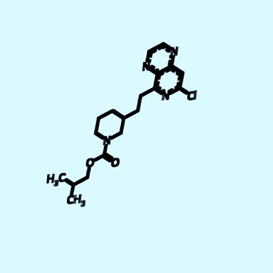 CC(C)COC(=O)N1CCCC(CCc2nc(Cl)cc3nccnc23)C1